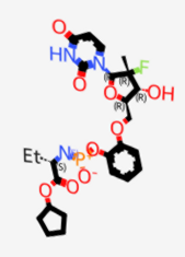 CC[C@H](/N=[P+](\[O-])Oc1ccccc1OC[C@H]1O[C@@H](n2ccc(=O)[nH]c2=O)[C@](C)(F)[C@@H]1O)C(=O)OC1CCCC1